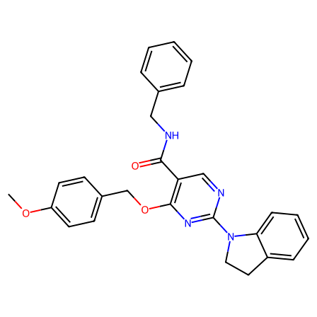 COc1ccc(COc2nc(N3CCc4ccccc43)ncc2C(=O)NCc2ccccc2)cc1